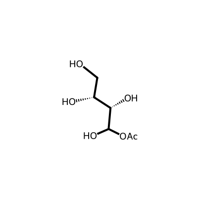 CC(=O)OC(O)[C@@H](O)[C@H](O)CO